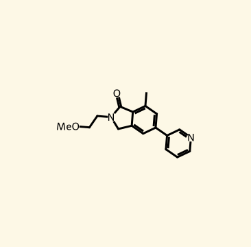 COCCN1Cc2cc(-c3cccnc3)cc(C)c2C1=O